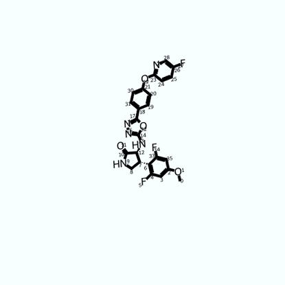 COc1cc(F)c([C@@H]2CNC(=O)[C@H]2Nc2nnc(-c3ccc(Oc4ccc(F)cn4)cc3)o2)c(F)c1